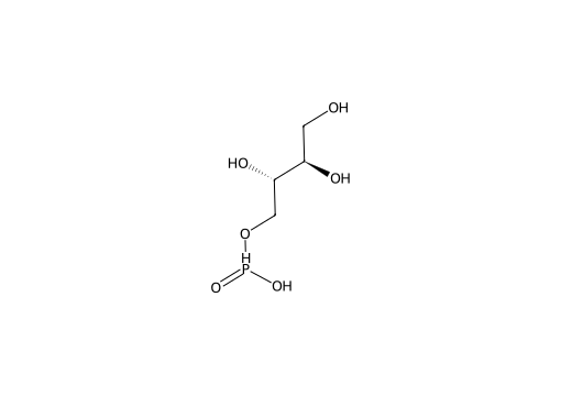 O=[PH](O)OC[C@H](O)[C@H](O)CO